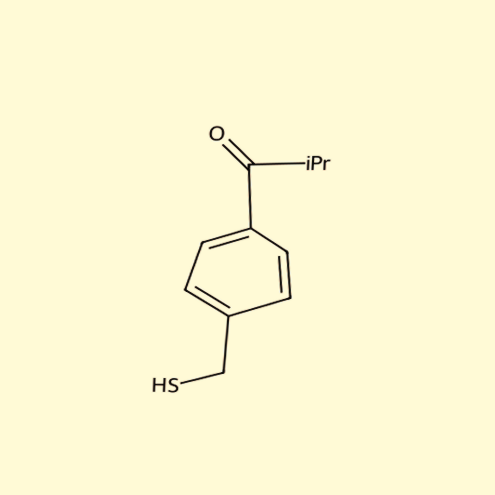 CC(C)C(=O)c1ccc(CS)cc1